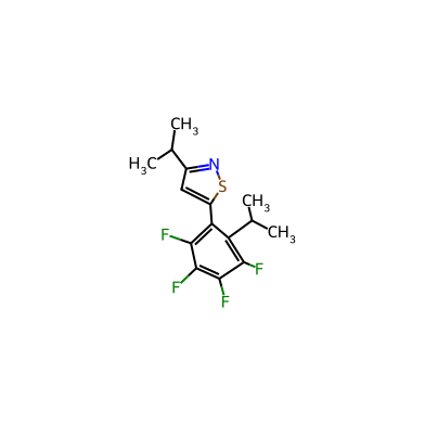 CC(C)c1cc(-c2c(F)c(F)c(F)c(F)c2C(C)C)sn1